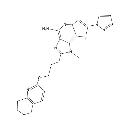 Cn1c(CCCOc2ccc3c(n2)CCCC3)nc2c(N)nc3cc(-n4cccn4)sc3c21